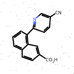 N#Cc1ccc(-c2cccc3ccc(C(=O)O)cc23)nc1